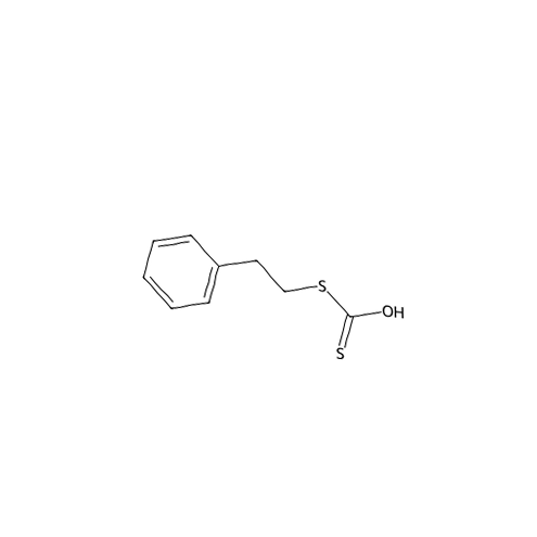 OC(=S)SCCc1ccccc1